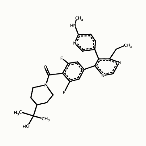 CCc1ncnc(-c2cc(F)c(C(=O)N3CCC(C(C)(C)O)CC3)c(F)c2)c1-c1ccc(NC)nc1